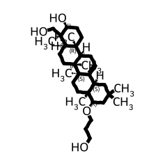 CC1(C)C[C@@H](OCCCO)[C@]2(C)CC[C@]3(C)C(=CC[C@@H]4[C@@]5(C)CC[C@H](O)[C@](C)(CO)[C@@H]5CC[C@]43C)[C@@H]2C1